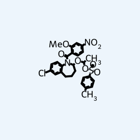 COc1cc([N+](=O)[O-])ccc1C(=O)N1c2ccc(Cl)cc2CCCC1OC(C)OS(=O)(=O)c1ccc(C)cc1